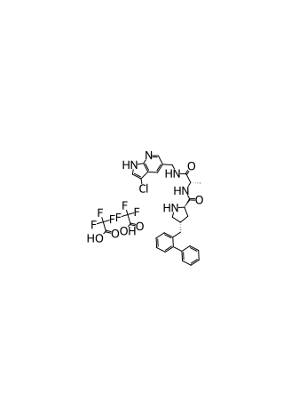 C[C@H](NC(=O)[C@H]1C[C@H](Cc2ccccc2-c2ccccc2)CN1)C(=O)NCc1cnc2[nH]cc(Cl)c2c1.O=C(O)C(F)(F)F.O=C(O)C(F)(F)F